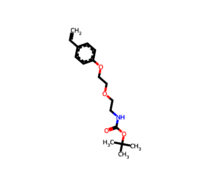 C=Cc1ccc(OCCOCCNC(=O)OC(C)(C)C)cc1